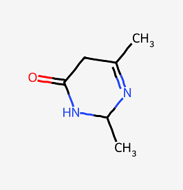 CC1=NC(C)NC(=O)C1